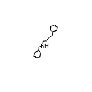 C(=CNCc1ccccc1)CCc1ccccc1